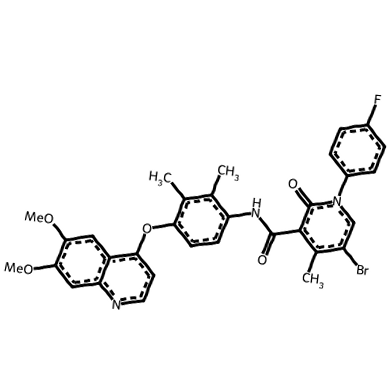 COc1cc2nccc(Oc3ccc(NC(=O)c4c(C)c(Br)cn(-c5ccc(F)cc5)c4=O)c(C)c3C)c2cc1OC